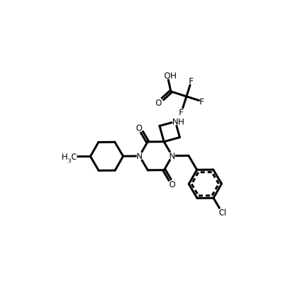 CC1CCC(N2CC(=O)N(Cc3ccc(Cl)cc3)C3(CNC3)C2=O)CC1.O=C(O)C(F)(F)F